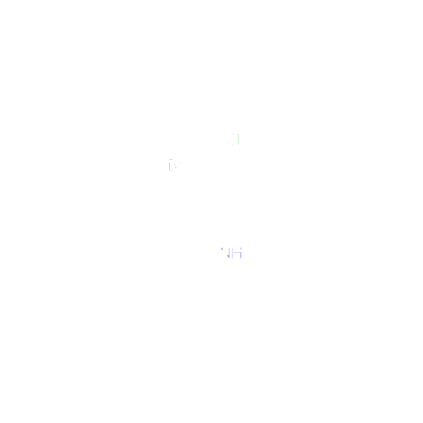 Clc1ccc(NC2CC2)cc1Br